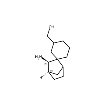 N[C@@H]1[C@@H]2CCC(C2)C12CCCC(CO)C2